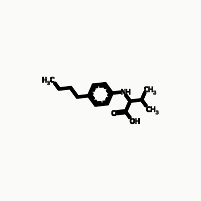 CCCCc1ccc(NC(C(=O)O)C(C)C)cc1